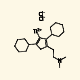 CN(C)CCC1=C(C2CCCCC2)[C]([Ti+2])=C(C2CCCCC2)C1.[Cl-].[Cl-]